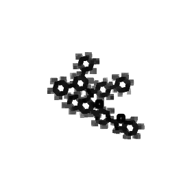 c1ccc(-c2ccc(N(c3cc(-c4ccccc4)cc(-c4ccccc4)c3)c3c4ccccc4cc4c3oc3cc(-c5cc6ccccc6o5)ccc34)cc2)cc1